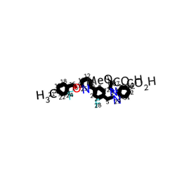 CO[C@H](Cn1c(Cc2ccc(-c3cccc(OCc4ccc(C)cc4F)n3)cc2F)nc2ccc(C(=O)O)cc21)C(=O)O